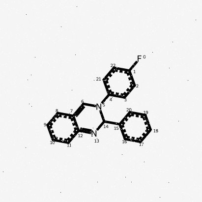 Fc1ccc(N2C=c3ccccc3=NC2c2ccccc2)cc1